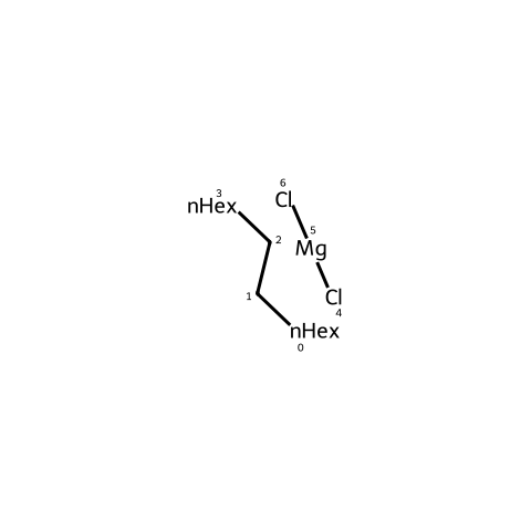 [CH2]CCCCCCCCCCCCC.[Cl][Mg][Cl]